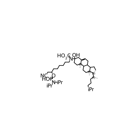 CC(C)CCC[C@@H](C)[C@H]1CCC2C3CC=C4CC(O)(N(CCCCCCC(CC#N)OP(O)N(C(C)C)C(C)C)C(=O)O)CC[C@]4(C)C3CC[C@@]21C